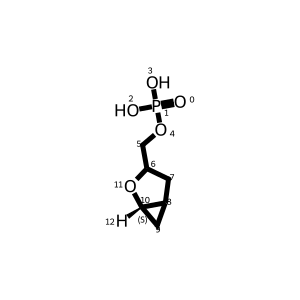 O=P(O)(O)OCC1CC2C[C@@H]2O1